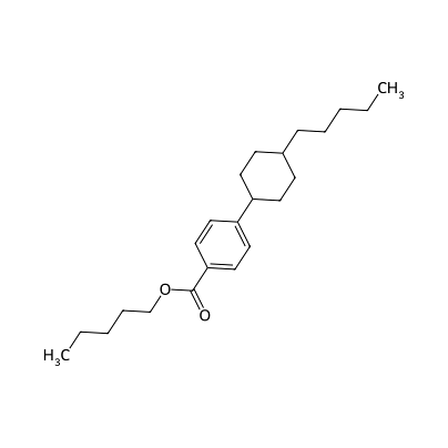 CCCCCOC(=O)c1ccc(C2CCC(CCCCC)CC2)cc1